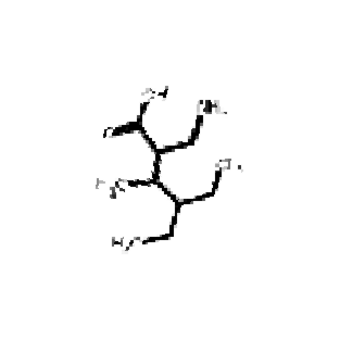 CCC(CC)C(C)C(CN)C(=O)O